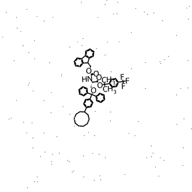 CC(C)(OC(=O)[C@H](COC(c1ccccc1)(c1ccccc1)c1ccc(C2CCCCCCCCC2)cc1)NC(=O)OCC1c2ccccc2-c2ccccc21)c1ccc(C(F)(F)F)cc1